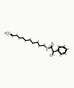 C=CCCCCCCCCCOC(=O)C(Cl)c1ccccc1